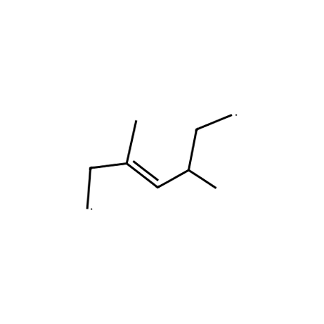 [CH2]CC(C)=CC(C)C[CH2]